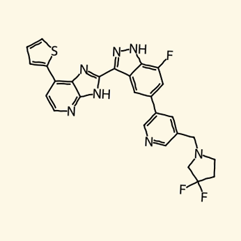 Fc1cc(-c2cncc(CN3CCC(F)(F)C3)c2)cc2c(-c3nc4c(-c5cccs5)ccnc4[nH]3)n[nH]c12